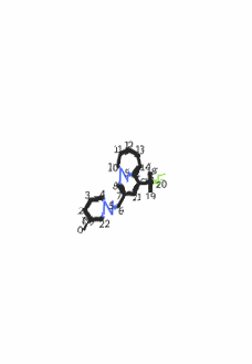 C[C@H]1CCCN(CC2=CN3CCCCC=C3C(C(C)(C)F)=C2)C1